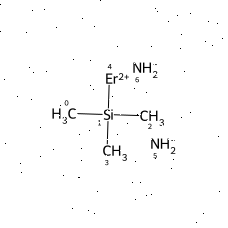 C[Si](C)(C)[Er+2].[NH2-].[NH2-]